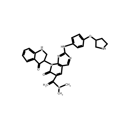 C=C(c1cc2cnc(Nc3ccc(OC4CCNC4)cc3)nc2n(C2CNc3ccccc3C2=O)c1=O)N(C)C